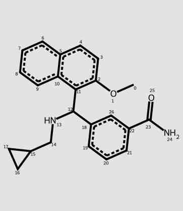 COc1ccc2ccccc2c1C(NCC1CC1)c1cccc(C(N)=O)c1